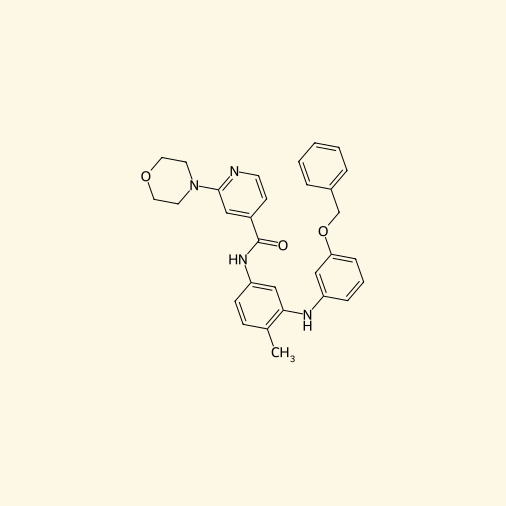 Cc1ccc(NC(=O)c2ccnc(N3CCOCC3)c2)cc1Nc1cccc(OCc2ccccc2)c1